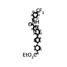 CCOC(=O)C[C@H]1CC[C@H](c2ccc(-c3ccc4nc(C(=O)NCc5ccc(C(F)(F)F)cc5)cn4c3)cc2)CC1